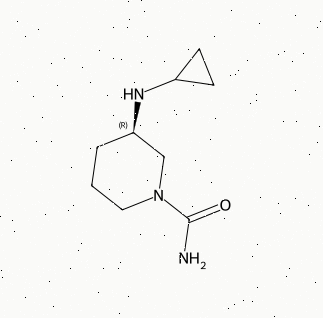 NC(=O)N1CCC[C@@H](NC2CC2)C1